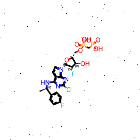 C[C@@H](Nc1nc(Cl)nc2c1ccn2[C@@H]1O[C@H](COP(=O)(O)CP(=O)(O)O)[C@@H](O)[C@@H]1F)c1ccc(F)cc1